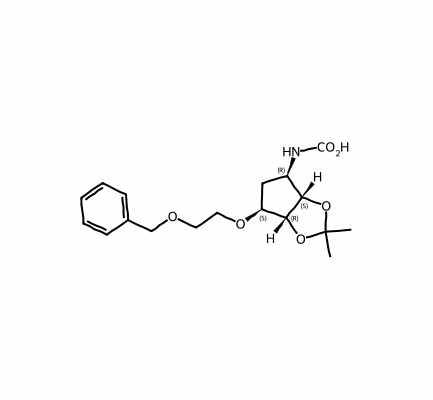 CC1(C)O[C@@H]2[C@H](O1)[C@@H](OCCOCc1ccccc1)C[C@H]2NC(=O)O